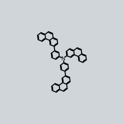 c1cc(-c2ccc3ccc4ccccc4c3c2)cc(N(c2ccc(-c3ccc4ccc5ccccc5c4c3)cc2)c2ccc3ccc4ccccc4c3c2)c1